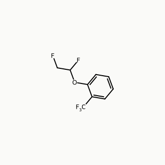 FCC(F)Oc1ccccc1C(F)(F)F